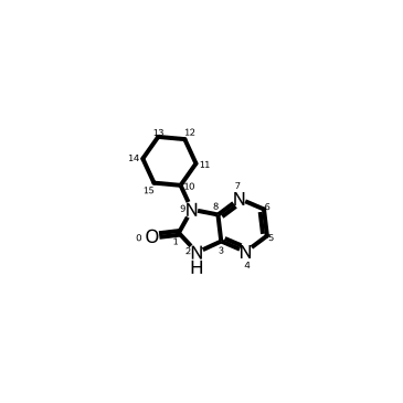 O=c1[nH]c2nccnc2n1C1CCCCC1